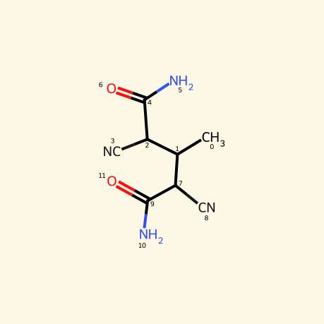 CC(C(C#N)C(N)=O)C(C#N)C(N)=O